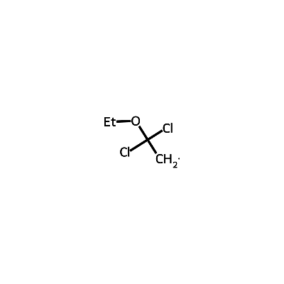 [CH2]C(Cl)(Cl)OCC